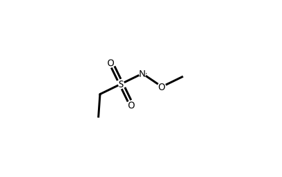 CCS(=O)(=O)[N]OC